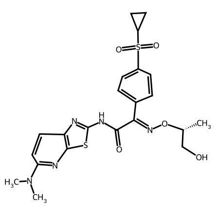 C[C@H](CO)O/N=C(/C(=O)Nc1nc2ccc(N(C)C)nc2s1)c1ccc(S(=O)(=O)C2CC2)cc1